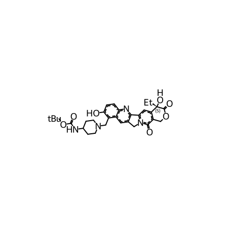 CC[C@@]1(O)C(=O)OCc2c1cc1n(c2=O)Cc2cc3c(CN4CCC(NC(=O)OC(C)(C)C)CC4)c(O)ccc3nc2-1